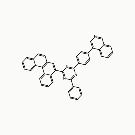 c1ccc(-c2nc(-c3ccc(-c4cncc5ccccc45)cc3)nc(-c3cc4ccc5ccccc5c4c4ccccc34)n2)cc1